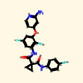 Nc1cc(Oc2cc(F)cc(NC(=O)C3(C(=O)Nc4ccc(F)cc4)CC3)c2F)ccn1